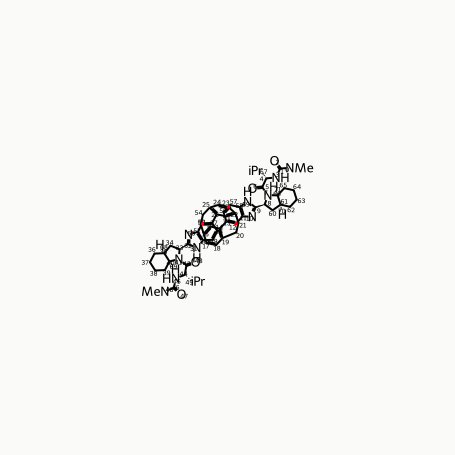 CNC(=O)N[C@H](C(=O)N1[C@H](c2nc3cc(-c4cc5ccc4CCc4ccc(c(-c6ccc7[nH]c([C@@H]8C[C@@H]9CCCC[C@@H]9N8C(=O)[C@@H](NC(=O)NC)C(C)C)nc7c6)c4)CC5)ccc3[nH]2)C[C@@H]2CCCC[C@@H]21)C(C)C